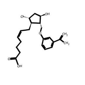 C=C(C)c1cccc(OC[C@@H]2[C@@H](C/C=C\CCCC(=O)O)[C@H](Cl)C[C@H]2O)c1